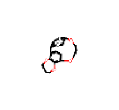 c1cc2ccc1OCCCOc1ccc-2c2c1OCCCO2